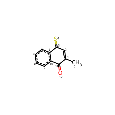 CC1=CC(=S)c2ccccc2C1=O